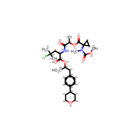 CCC(OC(=O)C1(N(C)C(=O)OC(C)(C)C)CC1)C(=O)NC(CC(C)(C)F)C(=O)OC(Cc1ccc(C2CCOCC2)cc1)C(=O)O